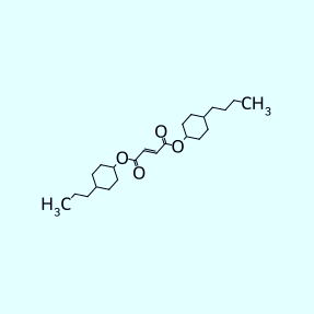 CCCCC1CCC(OC(=O)/C=C/C(=O)OC2CCC(CCC)CC2)CC1